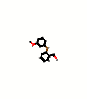 COc1cccc(Sc2ccccc2C=O)c1